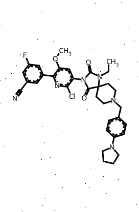 CCN1C(=O)N(c2cc(OC)c(-c3cc(F)cc(C#N)c3)nc2Cl)C(=O)C12CCN(Cc1ccc(N3CCCC3)cc1)CC2